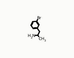 CC(N)Cc1cccc(Br)c1